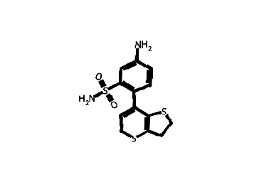 Nc1ccc(C2=CCSC3=C2SCC3)c(S(N)(=O)=O)c1